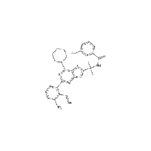 C=C(NC(C)(C)c1cc2nc(-c3cccc(N)c3C=N)nc(N3CCCCC3)c2s1)c1cccc(CC)c1